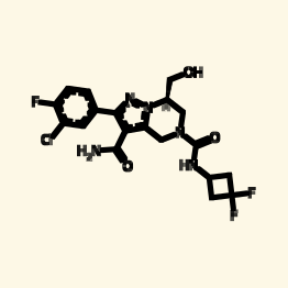 NC(=O)c1c(-c2ccc(F)c(Cl)c2)nn2c1CN(C(=O)NC1CC(F)(F)C1)C[C@@H]2CO